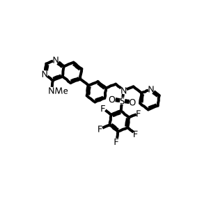 CNc1ncnc2ccc(-c3cccc(CN(Cc4ccccn4)S(=O)(=O)c4c(F)c(F)c(F)c(F)c4F)c3)cc12